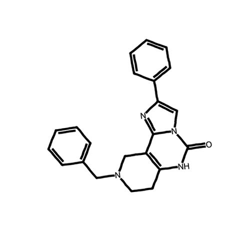 O=c1[nH]c2c(c3nc(-c4ccccc4)cn13)CN(Cc1ccccc1)CC2